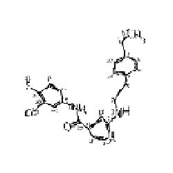 CCc1ccc(CCNc2cc(C(=O)Nc3ccc(F)c(Cl)c3)ccn2)cc1